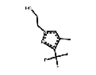 Cc1cn(CCO)nc1C(F)(F)F